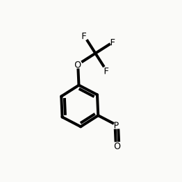 O=Pc1cccc(OC(F)(F)F)c1